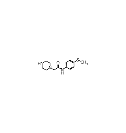 CSc1ccc(NC(=O)CN2CCNCC2)cc1